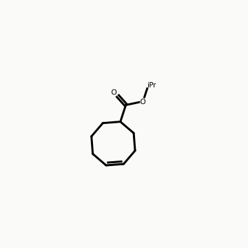 CC(C)OC(=O)C1CC/C=C\CCC1